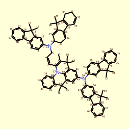 CC1=C(/C=C\CN(c2ccc3c(c2)C(C)(C)c2ccccc2-3)C2C=C3C(=CC2)C2=C(CCC=C2)C3(C)C)N2c3ccccc3C(C)(C)c3cc(N(c4ccc5c(c4)C(C)(C)c4ccccc4-5)c4ccc5c(c4)C(C)(C)c4ccccc4-5)cc(c32)C1(C)C